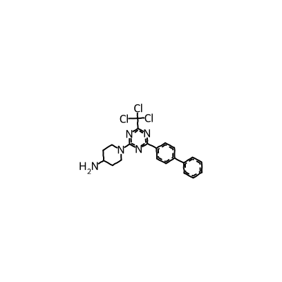 NC1CCN(c2nc(-c3ccc(-c4ccccc4)cc3)nc(C(Cl)(Cl)Cl)n2)CC1